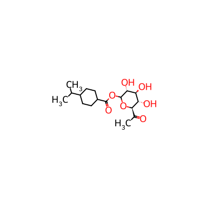 CC(=O)[C@H]1OC(OC(=O)C2CCC(C(C)C)CC2)[C@H](O)[C@@H](O)[C@@H]1O